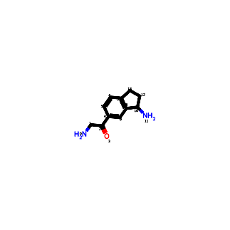 NCC(=O)c1ccc2c(c1)C(N)CC2